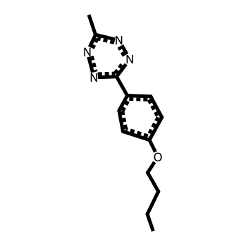 CCCCOc1ccc(-c2nnc(C)nn2)cc1